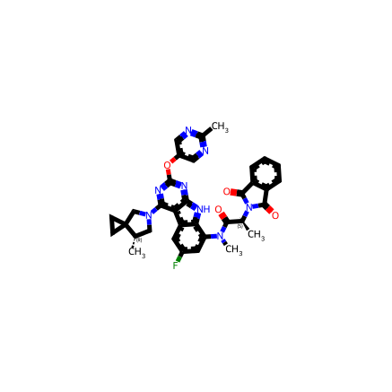 Cc1ncc(Oc2nc(N3C[C@H](C)C4(CC4)C3)c3c(n2)[nH]c2c(N(C)C(=O)[C@H](C)N4C(=O)c5ccccc5C4=O)cc(F)cc23)cn1